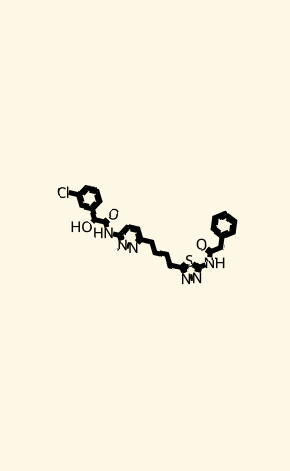 O=C(Cc1ccccc1)Nc1nnc(CCCCc2ccc(NC(=O)C(O)c3cccc(Cl)c3)nn2)s1